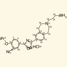 CC(C)Oc1ccc(-c2nc(-c3ccc4c(c3)CCN(CCCN)CC4)no2)cc1C#N.Cl